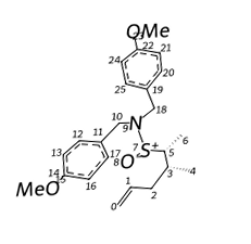 C=CC[C@@H](C)[C@@H](C)[S+]([O-])N(Cc1ccc(OC)cc1)Cc1ccc(OC)cc1